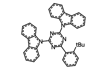 CC(C)(C)c1ccccc1-c1nc(-n2c3ccccc3c3ccccc32)nc(-n2c3ccccc3c3ccccc32)n1